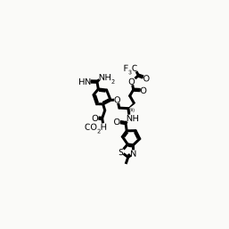 Cc1nc2ccc(C(=O)N[C@H](CCC(=O)OC(=O)C(F)(F)F)COc3cc(C(=N)N)ccc3CC(=O)C(=O)O)cc2s1